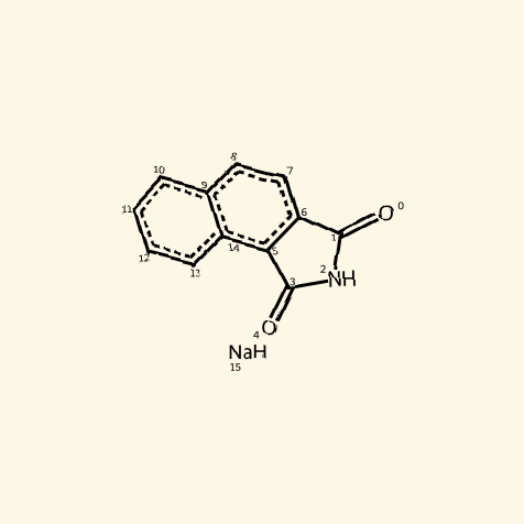 O=C1NC(=O)c2c1ccc1ccccc21.[NaH]